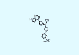 N#CCC(C1CCN(c2ccc3c(n2)[S+]([O-])CC3)C1)n1ccc(-c2ncnc3[nH]ccc23)c1